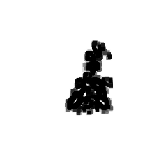 COC(=O)c1ccc(CONC(=O)[C@@H]2c3ccccc3C(=O)N([C@H]3CCCC[C@@H]3N)[C@H]2c2ccc(Cl)cc2Cl)cc1